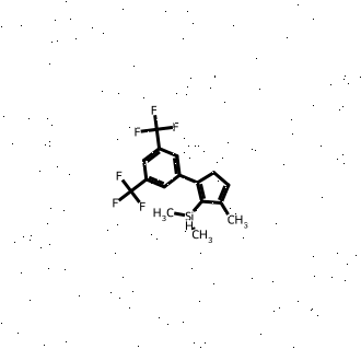 CC1=CCC(c2cc(C(F)(F)F)cc(C(F)(F)F)c2)=C1[SiH](C)C